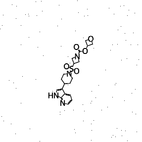 O=C(OC1COC1)N1CC(S(=O)(=O)N2CCC(c3c[nH]c4ncccc34)CC2)C1